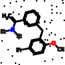 C=C(c1cccc(Cc2cc(C(C)C)ccc2OC#N)c1)N(CC)CC